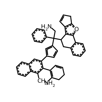 Cc1c(C2=C(N)CCC=C2)c(C2=C=C(C(CN)(c3ccccc3)C3Cc4ccccc4-c4oc5c(c43)C=CC5)C=C2)cc2ccccc12